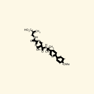 COc1ccc(-c2ccc(C(C)(C)NC(=O)c3cnc(C(=O)NC[C@H](C)C(=O)O)nc3O)cn2)cc1